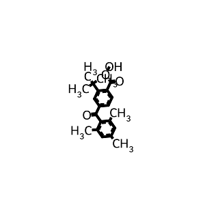 Cc1cc(C)c(C(=O)c2ccc(C(=O)OO)c(C(C)(C)C)c2)c(C)c1